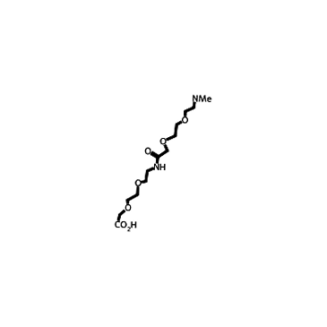 CNCCOCCOCC(=O)NCCOCCOCC(=O)O